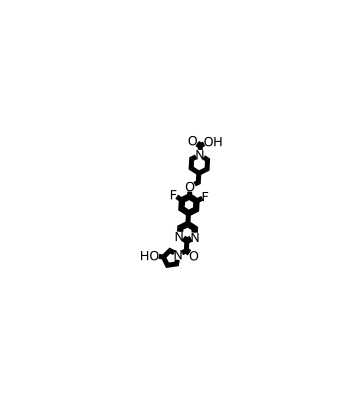 O=C(O)N1CCC(COc2c(F)cc(-c3cnc(C(=O)N4CCC(O)C4)nc3)cc2F)CC1